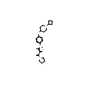 Cc1c(C(=O)N2CCCC2)nnn1-c1ccc(OC2CCN(C3CCC3)CC2)cc1